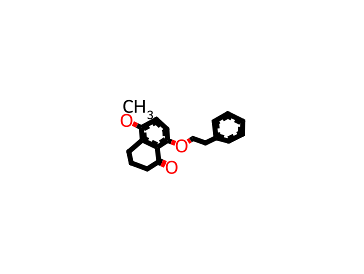 COc1ccc(OCCc2ccccc2)c2c1CCCC2=O